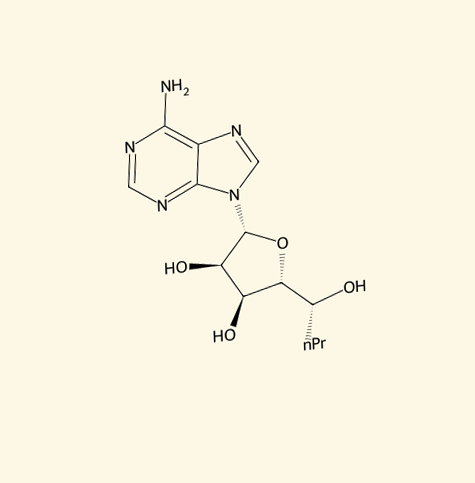 CCC[C@@H](O)[C@H]1O[C@@H](n2cnc3c(N)ncnc32)[C@H](O)[C@@H]1O